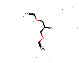 C=COCC(C)COC=C